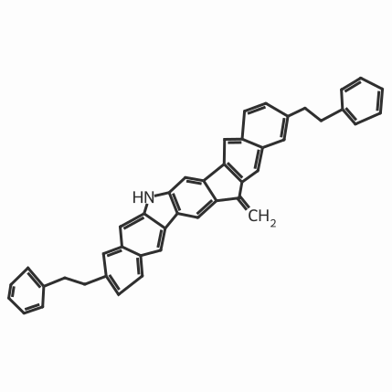 C=C1c2cc3cc(CCc4ccccc4)ccc3cc2-c2cc3[nH]c4cc5cc(CCc6ccccc6)ccc5cc4c3cc21